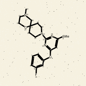 CSc1cc(Oc2cccc(F)c2)nc(N2CCC3(CC2)CN(C)CCO3)n1